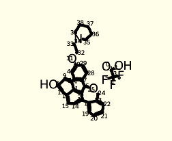 O=C(O)C(F)(F)F.Oc1ccc2c3c(ccc2c1)-c1ccccc1COC3c1ccc(OCCN2CCCCC2)cc1